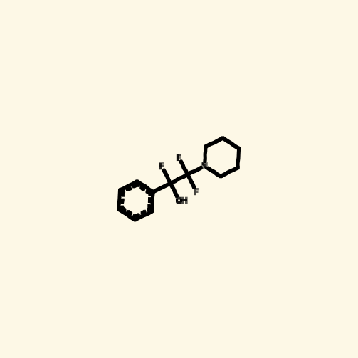 OC(F)(c1ccccc1)C(F)(F)N1CCCCC1